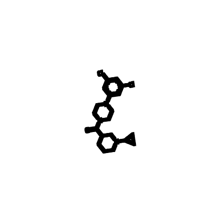 O=C(C1CCCN(C2CC2)C1)N1CCN(c2cc(Cl)cc(Cl)c2)CC1